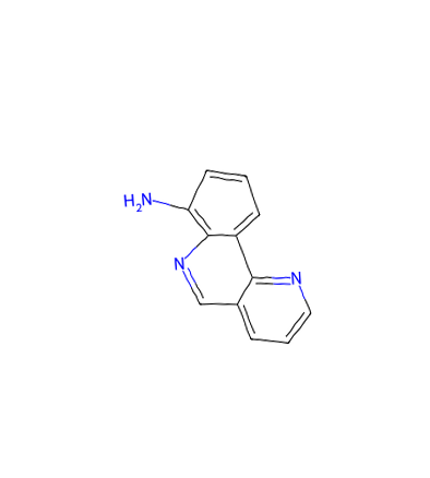 Nc1cccc2c1ncc1cccnc12